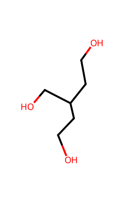 OCCC(CO)CCO